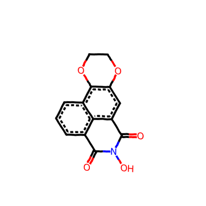 O=C1c2cccc3c4c(cc(c23)C(=O)N1O)OCCO4